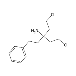 NC(CCCl)(CCCl)CCc1ccccc1